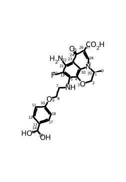 C[C@H]1COc2c(NCCOc3ccc(C(O)O)cc3)c(F)c(N)c3c(=O)c(C(=O)O)cn1c23